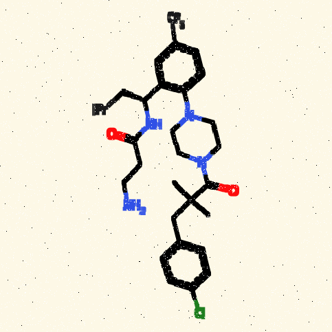 CC(C)C[C@H](NC(=O)CCN)c1cc(C(F)(F)F)ccc1N1CCN(C(=O)C(C)(C)Cc2ccc(Cl)cc2)CC1